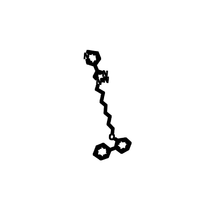 c1ccc(-c2ccccc2OCCCCCCCCn2cc(-c3cccnc3)nn2)cc1